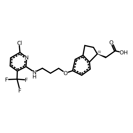 O=C(O)C[C@@H]1CCc2cc(OCCCNc3nc(Cl)ccc3C(F)(F)F)ccc21